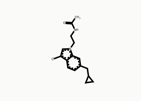 CC(=O)NCCn1cc(Cl)c2ccc(C[C]3CC3)cc21